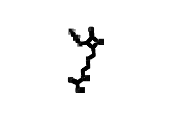 [N-]=[N+]=NC1C(=O)NC1CSCCNC(=O)O